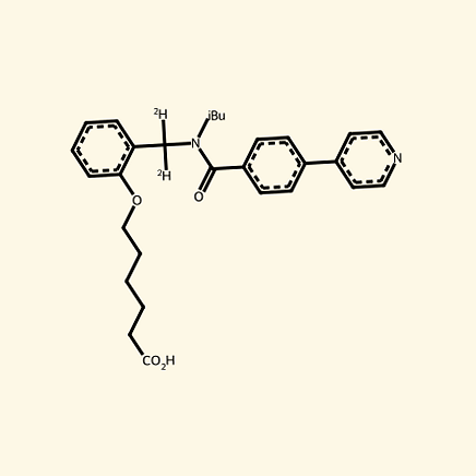 [2H]C([2H])(c1ccccc1OCCCCCC(=O)O)N(C(=O)c1ccc(-c2ccncc2)cc1)C(C)CC